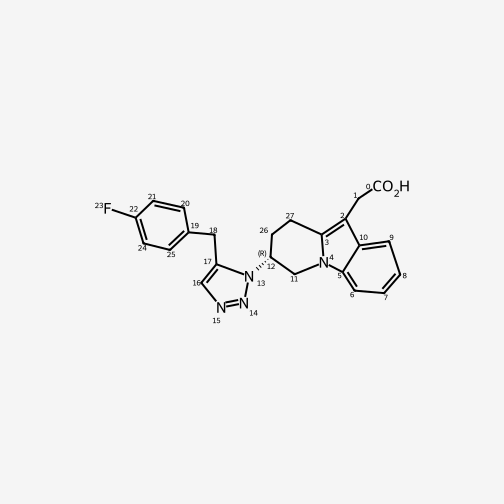 O=C(O)Cc1c2n(c3ccccc13)C[C@H](n1nncc1Cc1ccc(F)cc1)CC2